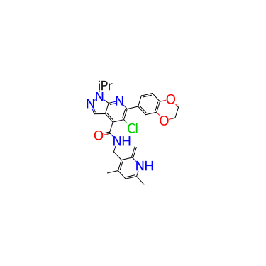 C=C1NC(C)=CC(C)=C1CNC(=O)c1c(Cl)c(-c2ccc3c(c2)OCCO3)nc2c1cnn2C(C)C